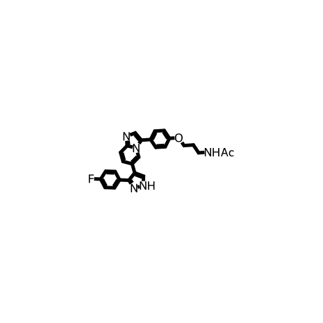 CC(=O)NCCCOc1ccc(-c2cnc3ccc(-c4c[nH]nc4-c4ccc(F)cc4)cn23)cc1